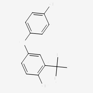 Cc1ccc(Oc2ccc(Cl)cc2)cc1C(F)(F)F